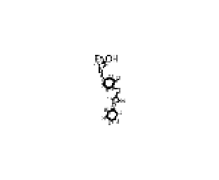 CCC1(O)CN(Cc2ccc(OC3CN(c4[c]cccc4)C3)c(C)c2)C1